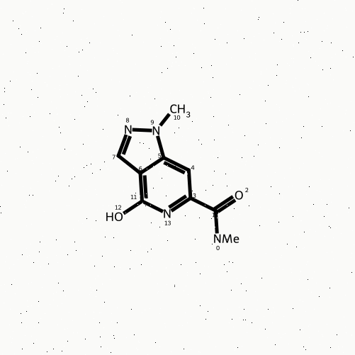 CNC(=O)c1cc2c(cnn2C)c(O)n1